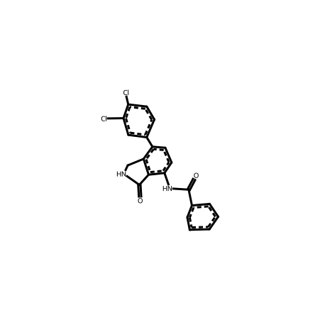 O=C(Nc1ccc(-c2ccc(Cl)c(Cl)c2)c2c1C(=O)NC2)c1ccccc1